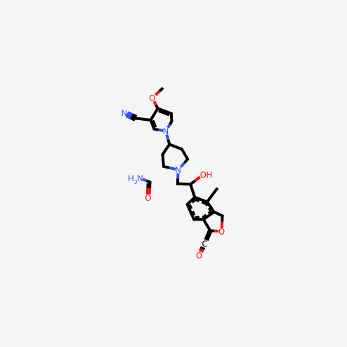 COC1=CCN(C2CCN(CC(O)c3ccc4c(c3C)COC4=C=O)CC2)C=C1C#N.NC=O